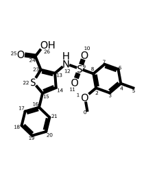 COc1cc(C)ccc1S(=O)(=O)Nc1cc(-c2ccccc2)sc1C(=O)O